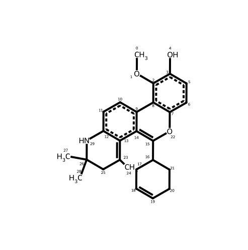 COc1c(O)ccc2c1-c1ccc3c(c1=C(C1CC=CCC1)O2)=C(C)CC(C)(C)N3